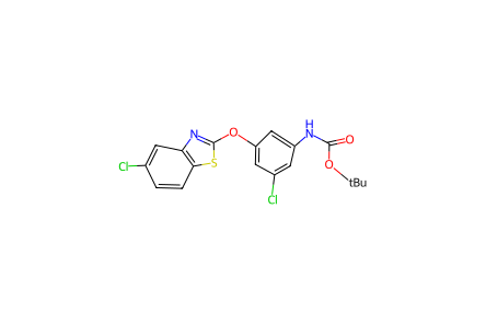 CC(C)(C)OC(=O)Nc1cc(Cl)cc(Oc2nc3cc(Cl)ccc3s2)c1